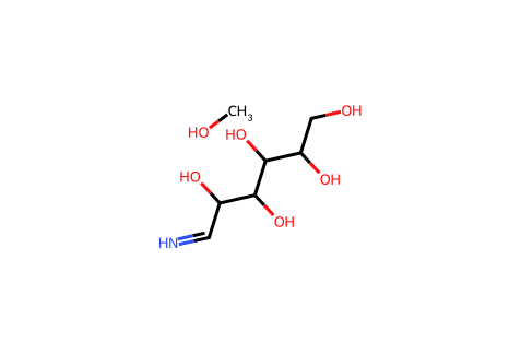 CO.N=CC(O)C(O)C(O)C(O)CO